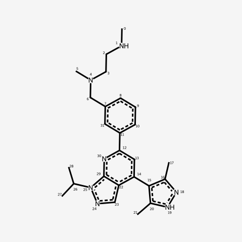 CNCCN(C)Cc1cccc(-c2cc(-c3c(C)n[nH]c3C)c3cnn(C(C)C)c3n2)c1